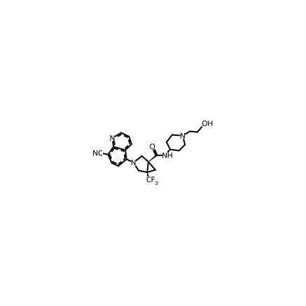 N#Cc1ccc(N2C[C@]3(C(=O)NC4CCN(CCO)CC4)C[C@]3(C(F)(F)F)C2)c2cccnc12